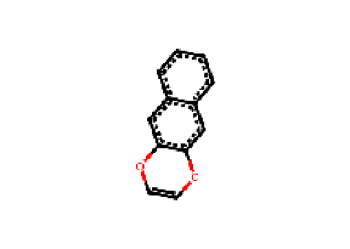 C1=COc2cc3ccccc3cc2O1